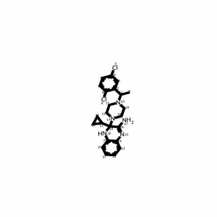 CC(c1cc(Cl)ccc1Cl)N1CCN(C2(C3CC3)Nc3ccccc3N=C2N)CC1